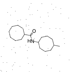 CC1CCCC(NC(=O)C2CCCCCCC2)CCC1